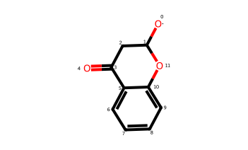 [O]C1CC(=O)c2ccccc2O1